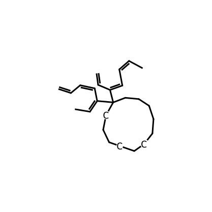 C=C/C=C\C(=C/C)C1(/C(C=C)=C/C=C\C)CCCCCCCCCCC1